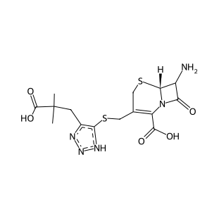 CC(C)(Cc1nn[nH]c1SCC1=C(C(=O)O)N2C(=O)C(N)[C@H]2SC1)C(=O)O